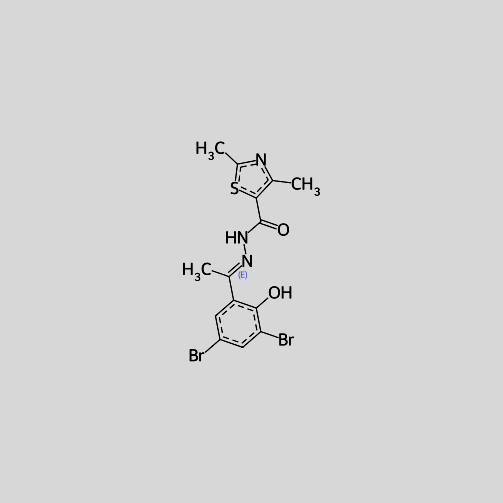 C/C(=N\NC(=O)c1sc(C)nc1C)c1cc(Br)cc(Br)c1O